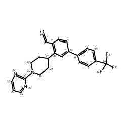 O=Cc1ccc(-c2ccc(C(F)(F)F)cc2)cc1C1CCN(c2ncccn2)CC1